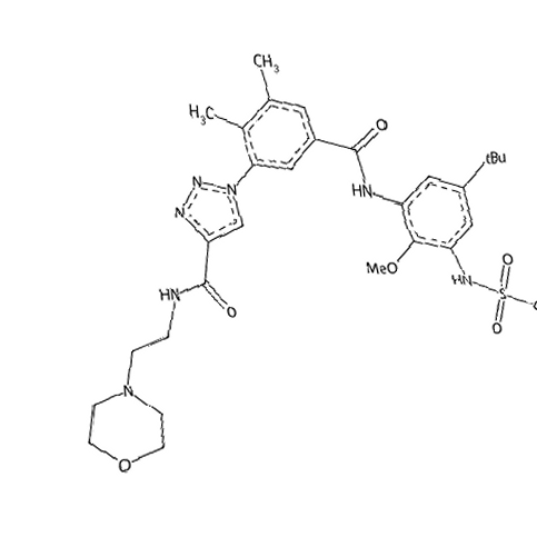 COc1c(NC(=O)c2cc(C)c(C)c(-n3cc(C(=O)NCCN4CCOCC4)nn3)c2)cc(C(C)(C)C)cc1NS(C)(=O)=O